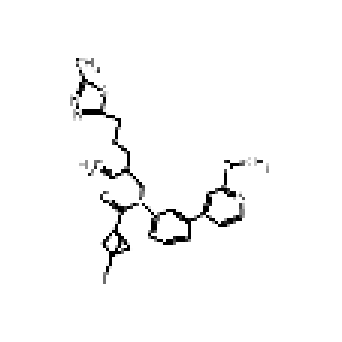 C=CC(CCCc1nnc(C)s1)CN(C(=O)C12CC(F)(C1)C2)c1cccc(-c2ccnc(OC)c2)c1